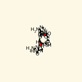 Nc1nc2c(ncn2[C@@H]2S[C@@H]3COP(=O)(S)O[C@H]4[C@H]5OC[C@]4(COP(=O)(S)O[C@@H]2[C@H]3F)O[C@H]5n2cnc3c(N)ncnc32)c(=O)[nH]1